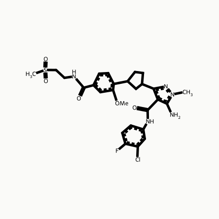 COc1cc(C(=O)NCCS(C)(=O)=O)ccc1C1CCC(c2nn(C)c(N)c2C(=O)Nc2ccc(F)c(Cl)c2)C1